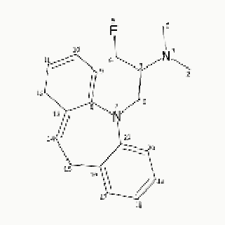 CN(C)C(CF)CN1C2=CC=CCC2=CCc2ccccc21